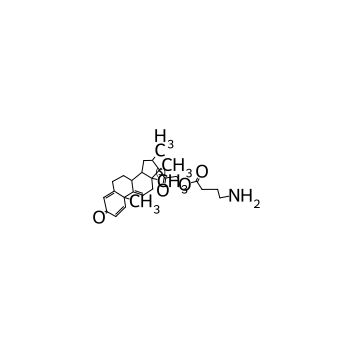 CC1CC2C3CCC4=CC(=O)C=CC4(C)C3=CCC2(C)[C@@]1(C)C(=O)COC(=O)CCCN